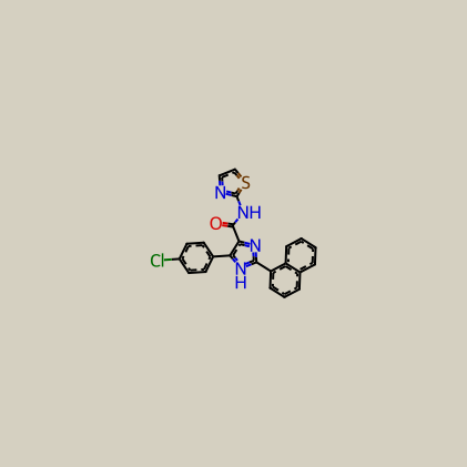 O=C(Nc1nccs1)c1nc(-c2cccc3ccccc23)[nH]c1-c1ccc(Cl)cc1